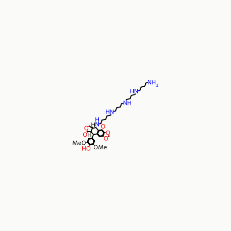 COc1cc(C2c3cc4c(cc3[C@@H](NC(=O)CCCCNCCCCNCCCCNCCCCN)[C@H]3COC(=O)[C@H]23)OCO4)cc(OC)c1O